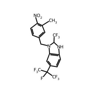 Cc1cc(CN2c3cc(C(F)(C(F)(F)F)C(F)(F)F)ccc3NC2C(F)(F)F)ccc1[N+](=O)[O-]